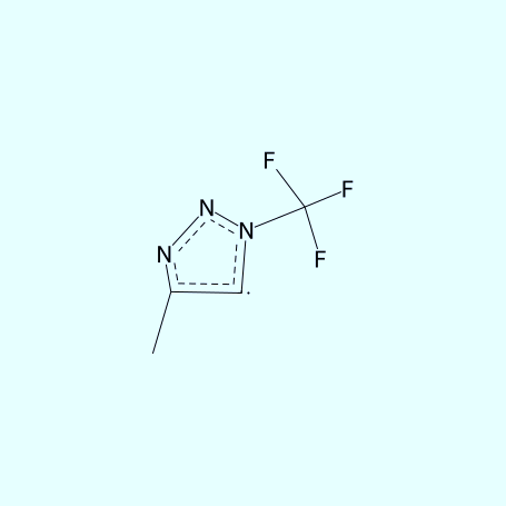 Cc1[c]n(C(F)(F)F)nn1